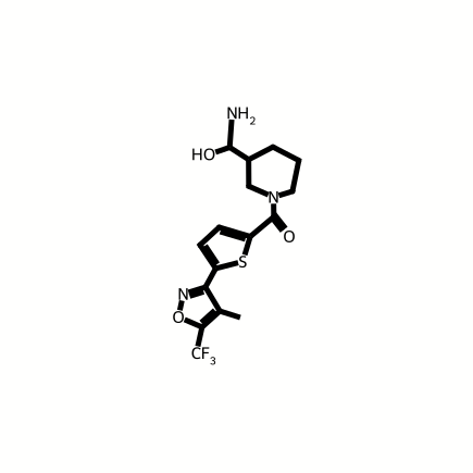 Cc1c(-c2ccc(C(=O)N3CCCC(C(N)O)C3)s2)noc1C(F)(F)F